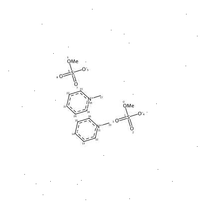 COS(=O)(=O)[O-].COS(=O)(=O)[O-].C[n+]1ccccc1.C[n+]1ccccc1